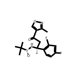 Cc1nocc1C(=O)C[C@](C)(N[S@+]([O-])C(C)(C)C)c1ccc(F)cc1F